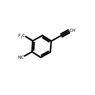 C#Cc1ccc(C#N)c(C(F)(F)F)c1